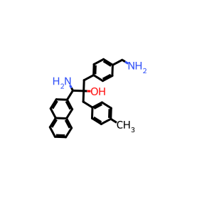 Cc1ccc(CC(O)(Cc2ccc(CN)cc2)C(N)c2ccc3ccccc3c2)cc1